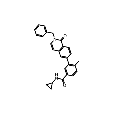 Cc1ccc(C(=O)NC2CC2)cc1-c1ccc2c(=O)n(Cc3ccccc3)ccc2c1